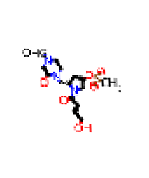 CS(=O)(=O)O[C@@H]1C[C@@H](CN2CCN(C=O)CC2=O)N(C(=O)C=CCO)C1